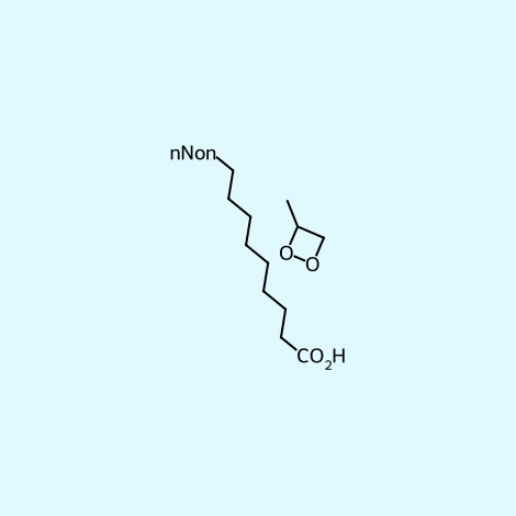 CC1COO1.CCCCCCCCCCCCCCCCCC(=O)O